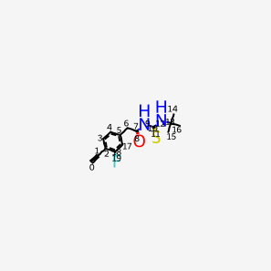 C#Cc1ccc(CC(=O)NC(=S)NC(C)(C)C)cc1F